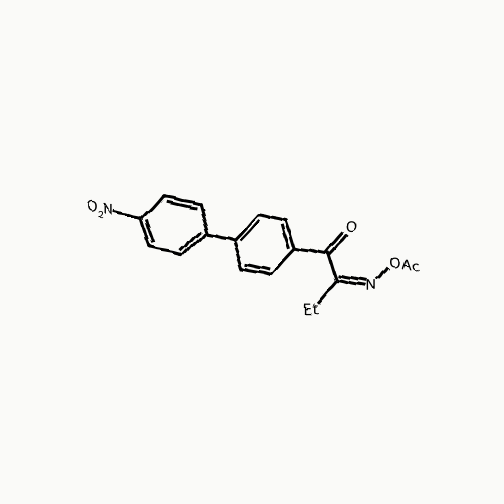 CC/C(=N/OC(C)=O)C(=O)c1ccc(-c2ccc([N+](=O)[O-])cc2)cc1